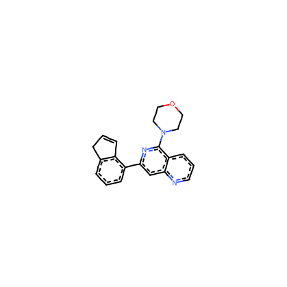 C1=Cc2c(cccc2-c2cc3ncccc3c(N3CCOCC3)n2)C1